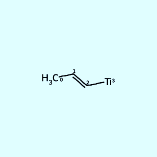 CC=[CH][Ti]